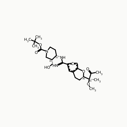 CO[C@](C)(C(C)=O)[C@H]1CCc2cc(C(=N)N[C@H]3CCN(C(=O)OC(C)(C)C)C[C@H]3CO)ccc2O1